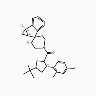 CC(C)(C)N1CC(C(=O)N2CCC3(CC2)c2ccccc2[C@@H]2O[C@@H]23)[C@H](c2ccc(F)cc2F)C1